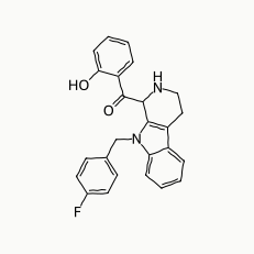 O=C(c1ccccc1O)C1NCCc2c1n(Cc1ccc(F)cc1)c1ccccc21